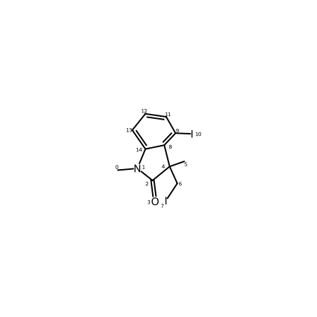 CN1C(=O)C(C)(CI)c2c(I)cccc21